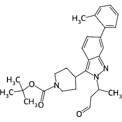 Cc1ccccc1-c1ccc2c(C3CCN(C(=O)OC(C)(C)C)CC3)n(C(C)CC=O)nc2c1